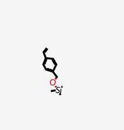 C=Cc1ccc(CO[Si](C)(C)C)cc1